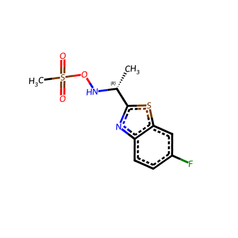 C[C@@H](NOS(C)(=O)=O)c1nc2ccc(F)cc2s1